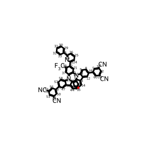 N#Cc1cc(C#N)cc(-c2ccc3c(c2)c2ccccc2n3-c2cc(-c3cccc(-c4ccccc4)n3)c(C(F)(F)F)cc2-n2c3ccccc3c3cc(-c4cc(C#N)cc(C#N)c4)ccc32)c1